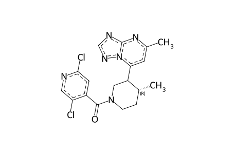 Cc1cc(C2CN(C(=O)c3cc(Cl)ncc3Cl)CC[C@H]2C)n2ncnc2n1